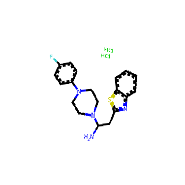 Cl.Cl.NC(Cc1nc2ccccc2s1)N1CCN(c2ccc(F)cc2)CC1